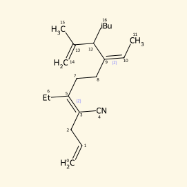 C=CC/C(C#N)=C(\CC)CC/C(=C/C)C(C(=C)C)C(C)CC